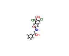 O=C(Cc1cc(Cl)c(O)c(Cl)c1)NCC(O)c1ccccc1